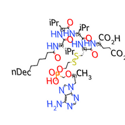 CCCCCCCCCCCCCCCC(=O)N[C@H](C(=O)N[C@H](C(=O)N[C@H](C(=O)N[C@@H](CSSCCOP(=O)(O)CO[C@H](C)Cn1cnc2c(N)ncnc21)C(=O)N[C@@H](CCC(=O)O)C(=O)O)C(C)C)C(C)C)C(C)C